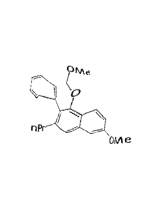 CCCc1cc2cc(OC)ccc2c(OCOC)c1-c1ccccc1